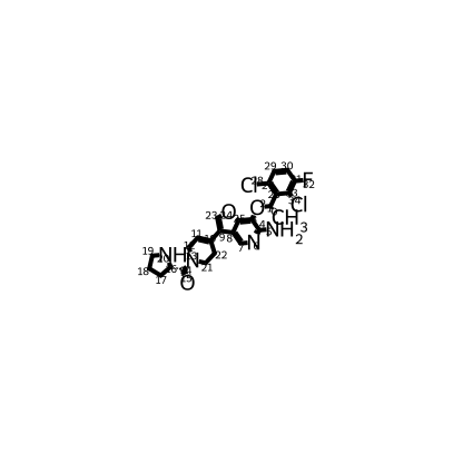 C[C@@H](Oc1c(N)ncc2c(C3=CCN(C(=O)[C@@H]4CCCN4)CC3)coc12)c1c(Cl)ccc(F)c1Cl